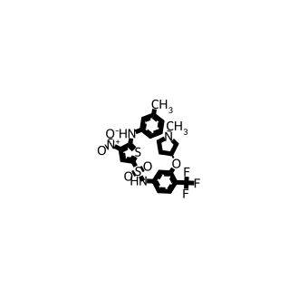 Cc1cccc(Nc2sc(S(=O)(=O)Nc3ccc(C(F)(F)F)c(O[C@@H]4CCN(C)C4)c3)cc2[N+](=O)[O-])c1